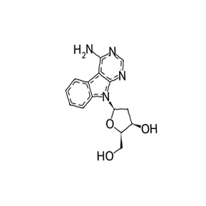 Nc1ncnc2c1c1ccccc1n2[C@H]1C[C@@H](O)[C@@H](CO)O1